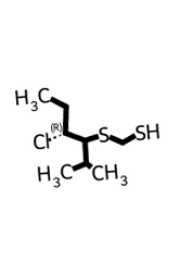 CC[C@@H](Cl)C(SCS)C(C)C